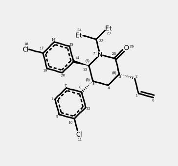 C=CC[C@@H]1C[C@H](c2cccc(Cl)c2)[C@@H](c2ccc(Cl)cc2)N(C(CC)CC)C1=O